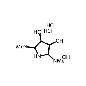 CNC1NC(NC)C(O)C1O.Cl.Cl.Cl